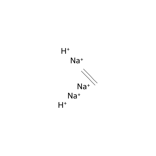 C=C.[H+].[H+].[Na+].[Na+].[Na+]